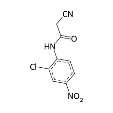 N#CCC(=O)Nc1ccc([N+](=O)[O-])cc1Cl